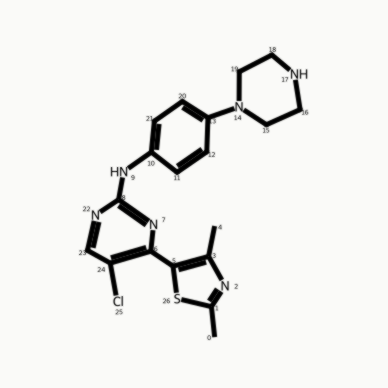 Cc1nc(C)c(-c2nc(Nc3ccc(N4CCNCC4)cc3)ncc2Cl)s1